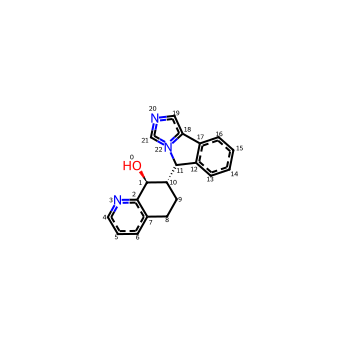 O[C@@H]1c2ncccc2CC[C@H]1C1c2ccccc2-c2cncn21